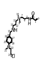 C=CC(=O)NCCC[N+](C)(C)CCCNCc1ccc(N(C)CCCl)cc1